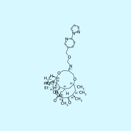 CC[C@H]1OC(=O)[C@H](C)C(=O)[C@H](C)[C@@H](C)[C@@]2(C)C[C@@H](C)/C(=N\C(C)=O)[C@H](C)[C@@H](OC/C(=N\COCc3ccc(-n4cccn4)nc3)CO2)[C@]1(C)O